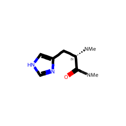 CNC(=O)[C@H](Cc1c[nH]cn1)NC